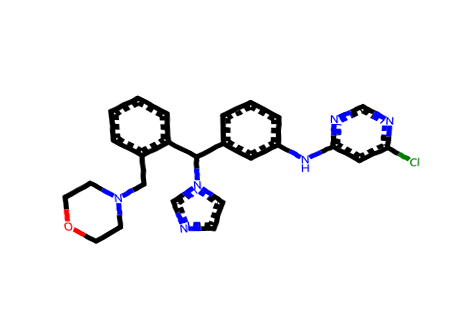 Clc1cc(Nc2cccc(C(c3ccccc3CN3CCOCC3)n3ccnc3)c2)ncn1